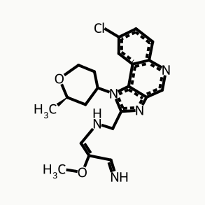 CO/C(C=N)=C/NCc1nc2cnc3ccc(Cl)cc3c2n1C1CCO[C@H](C)C1